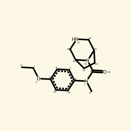 CCOc1ccc(N(C)C(=O)N2C3CCC2CNC3)cc1